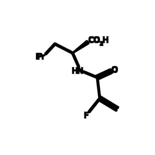 C=C(F)C(=O)N[C@@H](CC(C)C)C(=O)O